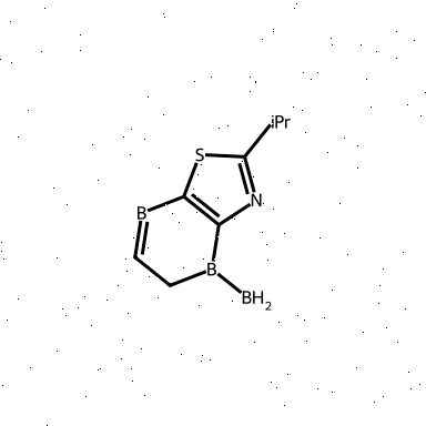 BB1CC=Bc2sc(C(C)C)nc21